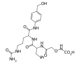 CC(C)CC(NC(=O)CONC(=O)O)C(=O)NC(CCCNC(N)=O)C(=O)Nc1ccc(CO)cc1